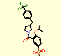 CC(C)Oc1ccc(S(C)(=O)=O)cc1C(=O)N1CCC(Cc2ccc(C(F)(F)F)cc2)C1